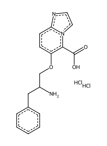 Cl.Cl.NC(COc1ccc2nccn2c1C(=O)O)Cc1ccccc1